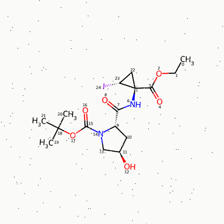 CCOC(=O)[C@@]1(NC(=O)[C@@H]2C[C@@H](O)CN2C(=O)OC(C)(C)C)C[C@H]1I